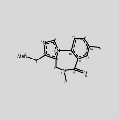 CNCc1ncn2c1CN(C)C(=O)c1cc(C)ccc1-2